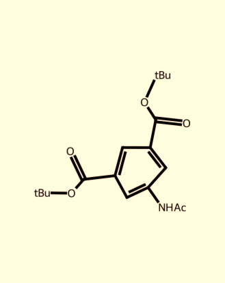 CC(=O)Nc1cc(C(=O)OC(C)(C)C)cc(C(=O)OC(C)(C)C)c1